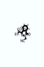 CCC(C(=O)O)c1nn(CC#N)c(=O)c2ccccc12